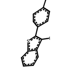 Cc1ccc(-c2sc3ccccc3c2I)cc1